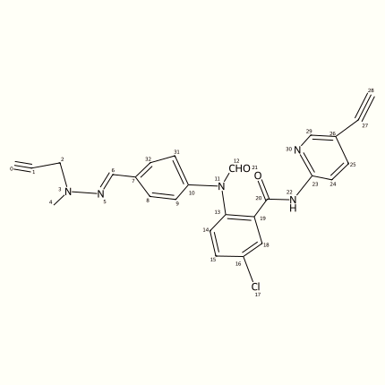 C#CCN(C)N=Cc1ccc(N(C=O)c2ccc(Cl)cc2C(=O)Nc2ccc(C#C)cn2)cc1